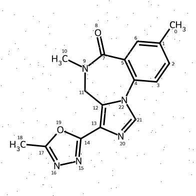 Cc1ccc2c(c1)C(=O)N(C)Cc1c(-c3nnc(C)o3)ncn1-2